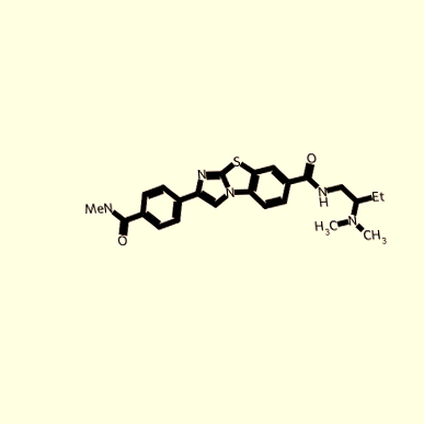 CCC(CNC(=O)c1ccc2c(c1)sc1nc(-c3ccc(C(=O)NC)cc3)cn12)N(C)C